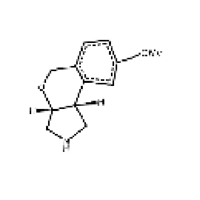 COc1ccc2c(c1)[C@@H]1CNC[C@@H]1OC2